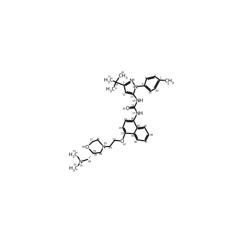 Cc1ccc(-n2nc(C(C)(C)C)cc2NC(=O)Nc2ccc(OCCN3CCO[C@@H](CN(C)C)C3)c3ccccc23)cc1